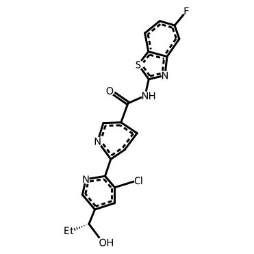 CC[C@@H](O)c1cnc(-c2ccc(C(=O)Nc3nc4cc(F)ccc4s3)cn2)c(Cl)c1